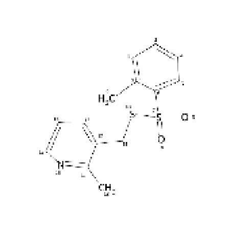 Cc1ccccc1S(=O)(=O)SCc1cccnc1C